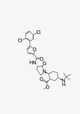 COC(=O)[C@@H]1C[C@H](NC(C)(C)C)CC[C@@H]1N1CC[C@H](NC(=O)c2ccc(-c3cc(Cl)ccc3Cl)o2)C1=O